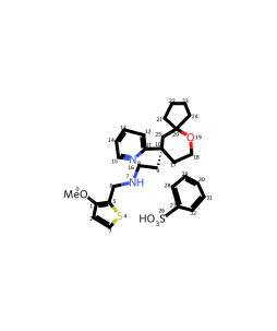 COc1ccsc1CNCC[C@@]1(c2ccccn2)CCOC2(CCCC2)C1.O=S(=O)(O)c1ccccc1